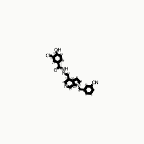 N#Cc1cccc(Cn2ccc3c(/C=N/NC(=O)c4ccc(O)c(Cl)c4)cncc32)c1